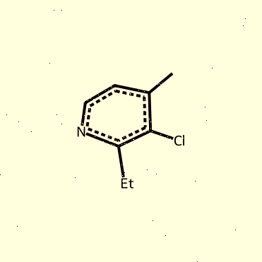 CCc1nccc(C)c1Cl